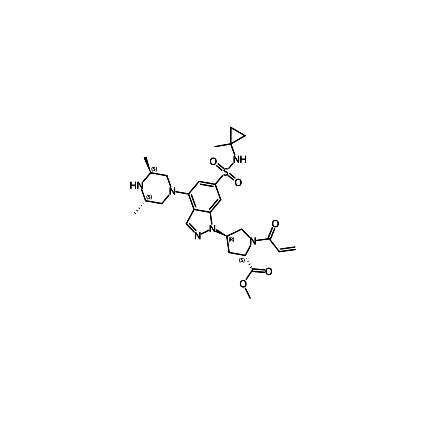 C=CC(=O)N1C[C@H](n2ncc3c(N4C[C@H](C)N[C@@H](C)C4)cc(S(=O)(=O)NC4(C)CC4)cc32)C[C@H]1C(=O)OC